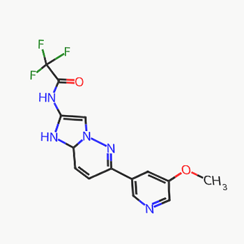 COc1cncc(C2=NN3C=C(NC(=O)C(F)(F)F)NC3C=C2)c1